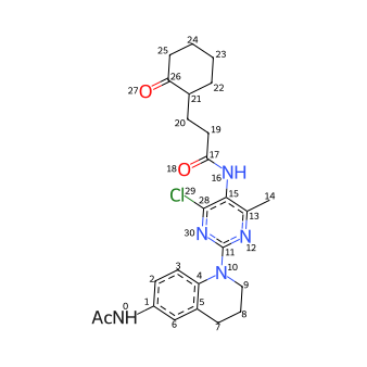 CC(=O)Nc1ccc2c(c1)CCCN2c1nc(C)c(NC(=O)CCC2CCCCC2=O)c(Cl)n1